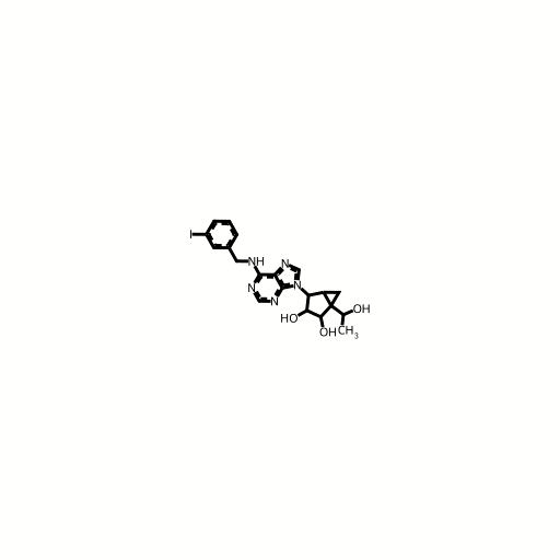 CC(O)C12CC1C(n1cnc3c(NCc4cccc(I)c4)ncnc31)C(O)C2O